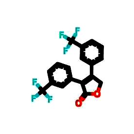 O=C1OCC(c2cccc(C(F)(F)F)c2)=C1c1cccc(C(F)(F)F)c1